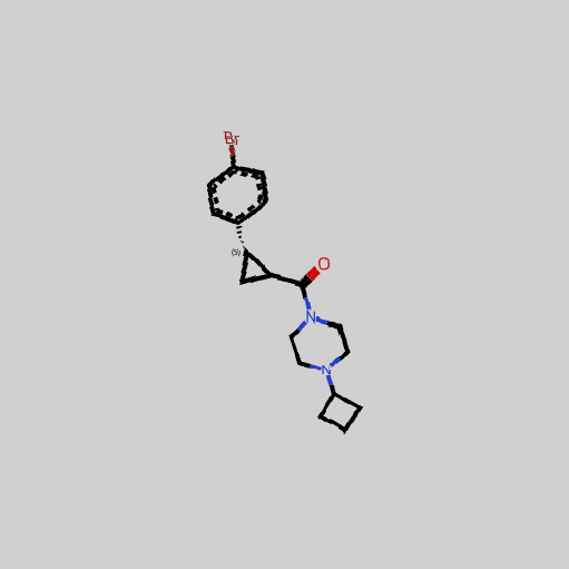 O=C(C1C[C@@H]1c1ccc(Br)cc1)N1CCN(C2CCC2)CC1